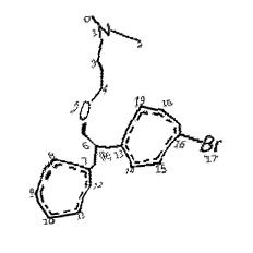 CN(C)CCO[C@H](c1ccccc1)c1ccc(Br)cc1